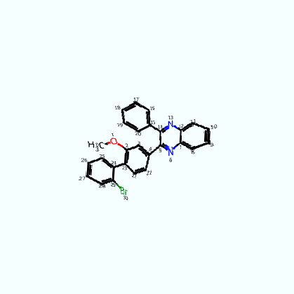 COc1cc(-c2nc3ccccc3nc2-c2ccccc2)ccc1-c1ccccc1Br